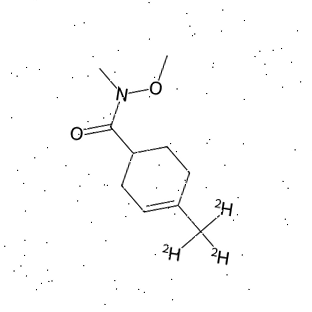 [2H]C([2H])([2H])C1=CCC(C(=O)N(C)OC)CC1